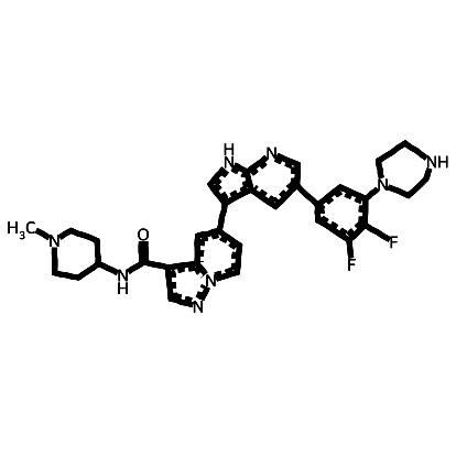 CN1CCC(NC(=O)c2cnn3ccc(-c4c[nH]c5ncc(-c6cc(F)c(F)c(N7CCNCC7)c6)cc45)cc23)CC1